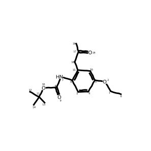 CCOc1ccc(NC(=O)OC(C)(C)C)c(CC(C)=O)c1